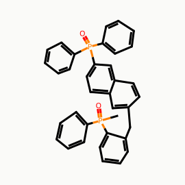 CP(=O)(c1ccccc1)c1ccccc1Cc1ccc2cc(P(=O)(c3ccccc3)c3ccccc3)ccc2c1